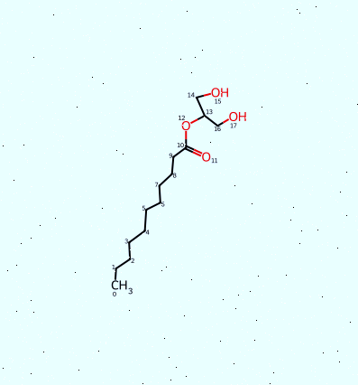 CCCCCCCCCCC(=O)OC(CO)CO